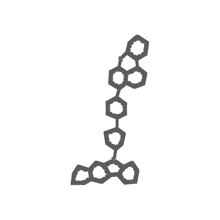 c1ccc2c(c1)Sc1ccc(-c3ccc(-c4ccc(-n5c6ccccc6c6cc7ccccc7cc65)cc4)cc3)c3cccc-2c13